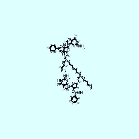 C/N=C/CCOP(OCCSCCOP(OCCC#N)OC[C@H]1O[C@@H](n2cnc3c(=O)[nH]c(N)nc32)[C@@H]2OB(c3ccccc3)O[C@@H]21)OC[C@@H]1CC(OB(O)c2ccccc2)[C@H](n2cnc3c(=O)[nH]c(N)nc32)O1